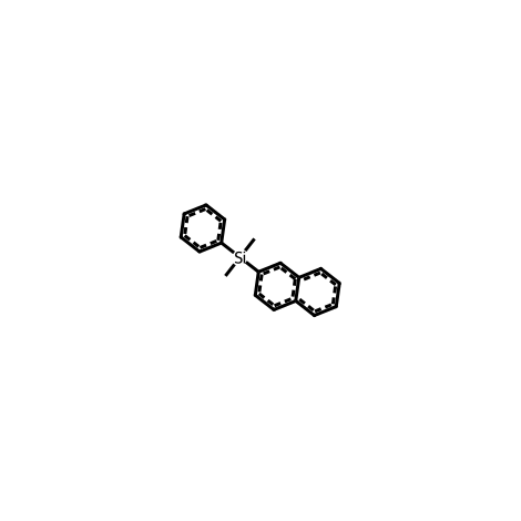 C[Si](C)(c1ccccc1)c1ccc2ccccc2c1